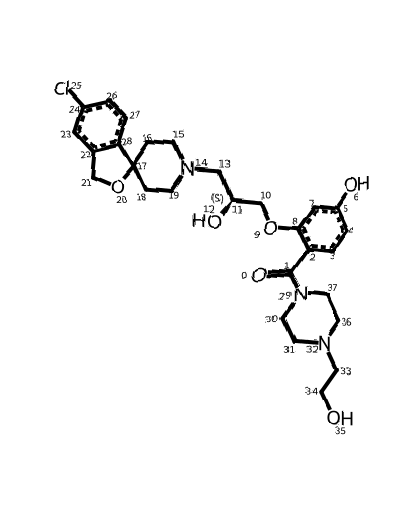 O=C(c1ccc(O)cc1OC[C@@H](O)CN1CCC2(CC1)OCc1cc(Cl)ccc12)N1CCN(CCO)CC1